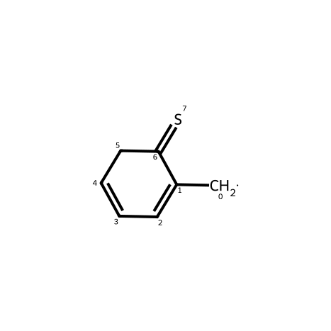 [CH2]C1=CC=CCC1=S